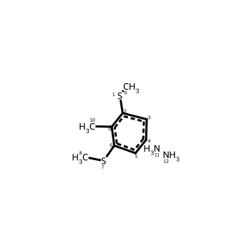 CSc1cccc(SC)c1C.N.N